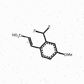 COc1ccc(/C=C/C(=O)O)c(C(F)F)c1